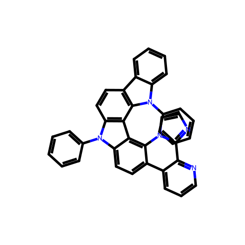 c1ccc(-n2c3ccc4c5ccccc5n(-c5ccccc5)c4c3c3c2ccc2c4cccnc4c4nccn4c23)cc1